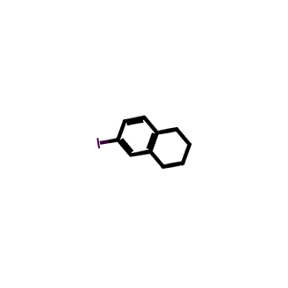 Ic1ccc2c(c1)CCCC2